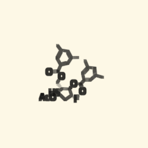 CC(=O)O[SH]1C[C@@H](F)[C@H](OC(=O)c2cc(C)cc(C)c2)[C@H]1COC(=O)c1cc(C)cc(C)c1